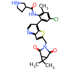 Cc1cc(Cl)cc(-c2ccnc3cc(CN4C(=O)C5C(C4=O)C5(C)C)sc23)c1NC(=O)C1CCNC1